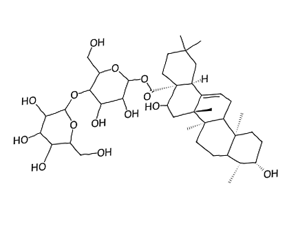 C[C@@H]1C2CC[C@]3(C)C(CC=C4[C@@H]5CC(C)(C)CC[C@]5(C(=O)OC5OC(CO)C(OC6OC(CO)C(O)C(O)C6O)C(O)C5O)C(O)C[C@]43C)[C@@]2(C)CC[C@@H]1O